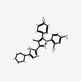 Cc1c(-c2ncc(C3CCCCC3)[nH]2)nn(-c2ccc(Cl)cc2Cl)c1-c1ccc(Cl)cc1